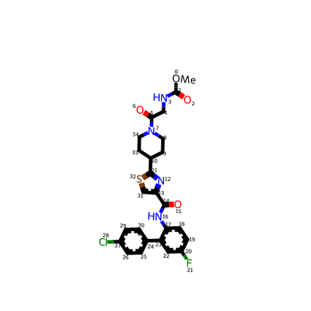 COC(=O)NCC(=O)N1CCC(c2nc(C(=O)Nc3ccc(F)cc3-c3ccc(Cl)cc3)cs2)CC1